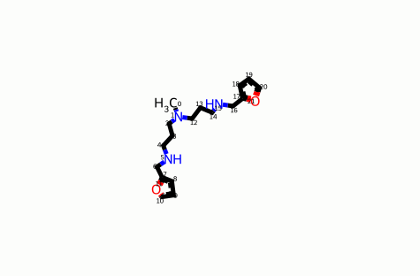 CN(CCCNCc1ccco1)CCCNCc1ccco1